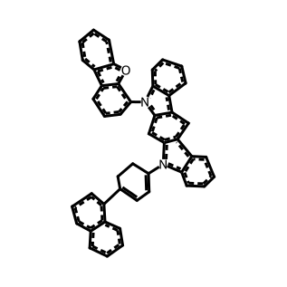 C1=C(c2cccc3ccccc23)CCC(n2c3ccccc3c3cc4c5ccccc5n(-c5cccc6c5oc5ccccc56)c4cc32)=C1